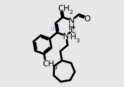 C=C(/C=C(/c1cccc(C)c1)N(C)CCC1CCCCCC1)NC=O